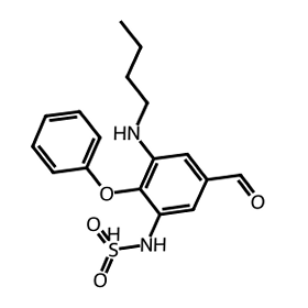 CCCCNc1cc(C=O)cc(N[SH](=O)=O)c1Oc1ccccc1